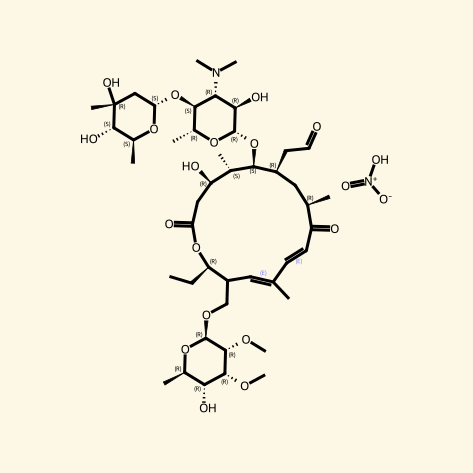 CC[C@H]1OC(=O)C[C@@H](O)[C@H](C)[C@@H](O[C@@H]2O[C@H](C)[C@@H](O[C@H]3C[C@@](C)(O)[C@@H](O)[C@H](C)O3)[C@H](N(C)C)[C@H]2O)[C@@H](CC=O)C[C@@H](C)C(=O)/C=C/C(C)=C/C1CO[C@@H]1O[C@H](C)[C@@H](O)[C@@H](OC)[C@H]1OC.O=[N+]([O-])O